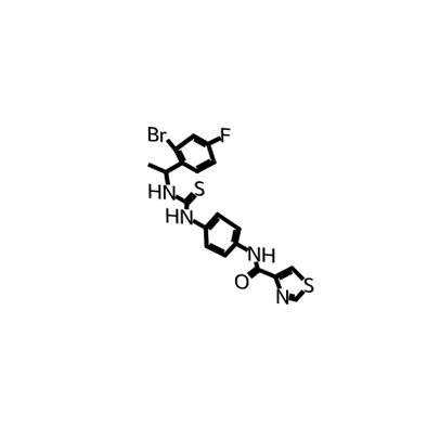 CC(NC(=S)Nc1ccc(NC(=O)c2cscn2)cc1)c1ccc(F)cc1Br